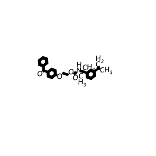 C=C(C)c1cccc(C(C)(C)NC(=O)OCCOc2ccc(C(=O)c3ccccc3)cc2)c1